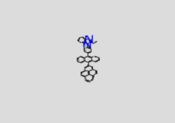 CCc1nc2ccccc2n1-c1ccc(-c2c3ccccc3c(-c3cc4ccc5cccc6ccc(c3)c4c56)c3ccccc23)cc1